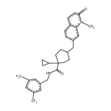 Cn1c(=O)ccc2ccc(CN3CCC(C(=O)NCc4cc(C(F)(F)F)cc(C(F)(F)F)c4)(C4CC4)CC3)cc21